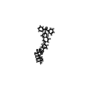 O=P(c1ccccc1)(c1ccccc1)c1ccc2cc(-c3ccc(OS(=O)(=O)C(F)(F)C(F)(F)C(F)(F)C(F)(F)F)cc3)ccc2c1